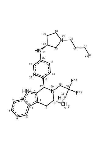 C[C@@H]1Cc2c([nH]c3ccccc23)[C@@H](c2ccc(N[C@H]3CCN(CCCF)C3)cn2)N1CC(F)(F)P